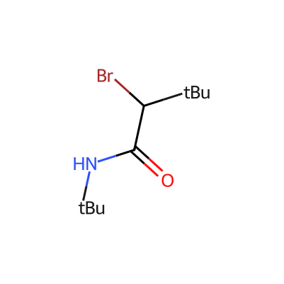 CC(C)(C)NC(=O)C(Br)C(C)(C)C